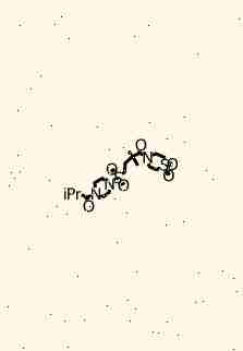 CC(C)C(=O)N1CCN(S(=O)(=O)CCC(C)(C)C(=O)N2CCS(=O)(=O)CC2)CC1